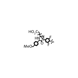 COCc1ccc([C@@H](NC(=O)C(C)(C)CC(=O)O)C(=O)Nc2cc(F)c(S(C)(C)C)c(F)c2)cc1